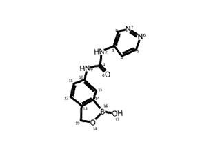 O=C(Nc1ccnnc1)Nc1ccc2c(c1)B(O)OC2